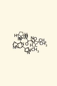 Cn1cc(-c2cn3nccc3c(N3C[C@H]4CC[C@@H](C3)[C@H]4CNC(=O)c3noc(C(C)(C)C)n3)n2)cn1